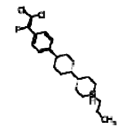 CCC[Si@H]1CC[C@H]([C@H]2CC[C@H](c3ccc(C(F)=C(Cl)Cl)cc3)CC2)CC1